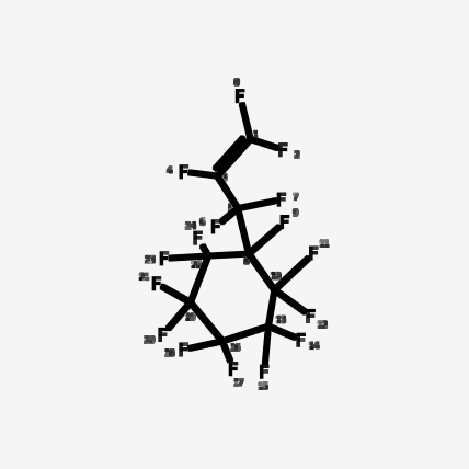 FC(F)=C(F)C(F)(F)C1(F)C(F)(F)C(F)(F)C(F)(F)C(F)(F)C1(F)F